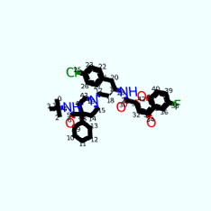 CC(C)(C)NC(=O)C1(C2CCCCC2)CCN(CC[C@H](Cc2ccc(Cl)cc2)NC(=O)c2cc(=O)c3cc(F)ccc3o2)CC1